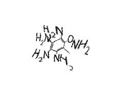 Cc1c(N)c(N)c(N)c(N)c1ON